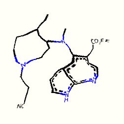 CCOC(=O)c1cnc2[nH]ccc2c1N(C)C1CN(CCC#N)CCC1C